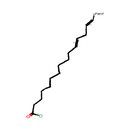 CCCCC/C=C/C/C=C/CCCCCCCCCC(=O)Cl